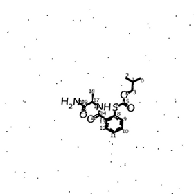 CC(C)COC(=O)Sc1ccccc1C(=O)N[C@H](C)C(N)=O